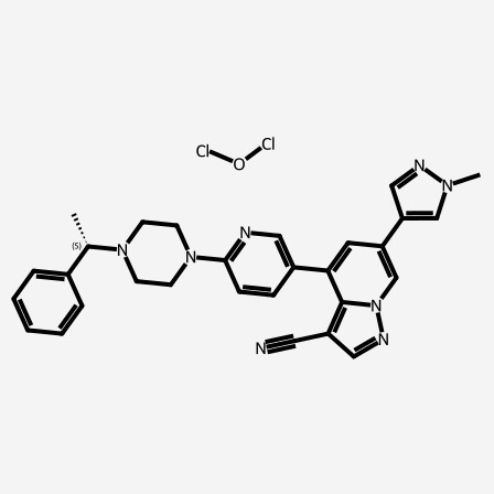 C[C@@H](c1ccccc1)N1CCN(c2ccc(-c3cc(-c4cnn(C)c4)cn4ncc(C#N)c34)cn2)CC1.ClOCl